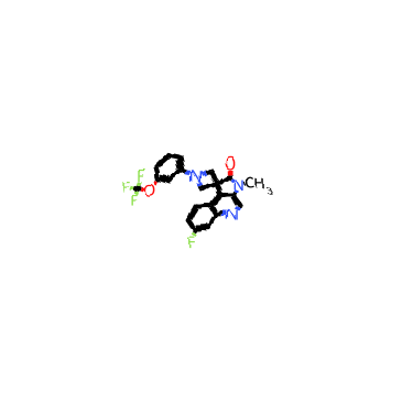 CN1C(=O)C2(CN(c3cccc(OC(F)(F)F)c3)C2)c2c1cnc1cc(F)ccc21